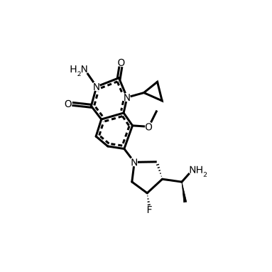 COc1c(N2C[C@H]([C@H](C)N)[C@H](F)C2)ccc2c(=O)n(N)c(=O)n(C3CC3)c12